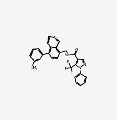 Cc1cccc(-c2ccc(CNC(=O)c3cnn(-c4ccccc4)c3C(F)(F)F)c3cnccc23)c1